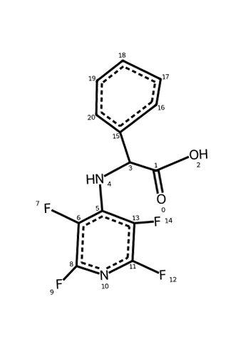 O=C(O)C(Nc1c(F)c(F)nc(F)c1F)c1ccccc1